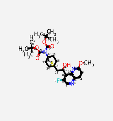 COc1ccc2ncc(F)c(C(O)CC34CCC(N(C(=O)OC(C)(C)C)C(=O)OC(C)(C)C)(CC3)CS4)c2n1